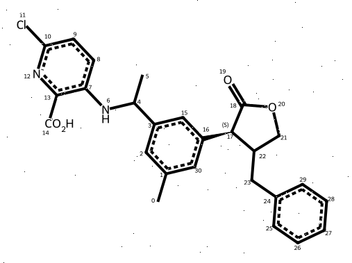 Cc1cc(C(C)Nc2ccc(Cl)nc2C(=O)O)cc([C@H]2C(=O)OCC2Cc2ccccc2)c1